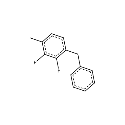 Cc1ccc(Cc2ccccc2)c(F)c1F